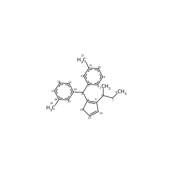 CCC(C)C1=C(C(c2cccc(C)c2)c2cccc(C)c2)CC=C1